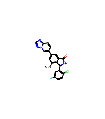 CSc1cc(-c2ccc3ncnn3c2)cc2c1C(c1cc(F)ccc1Cl)NC2=O